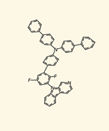 Fc1cc(-c2ccc(N(c3ccc(-c4ccccc4)cc3)c3ccc(-c4ccccc4)cc3)cc2)c(F)c(-n2c3ccccc3c3ccncc32)c1